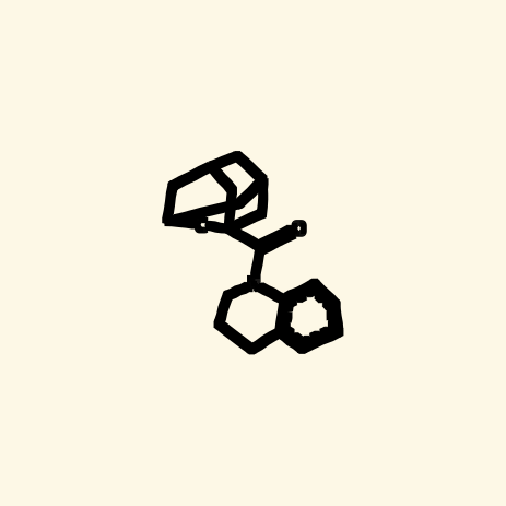 O=C(N1CCCc2ccccc21)C12CC3CC(CC(C3)C1)C2